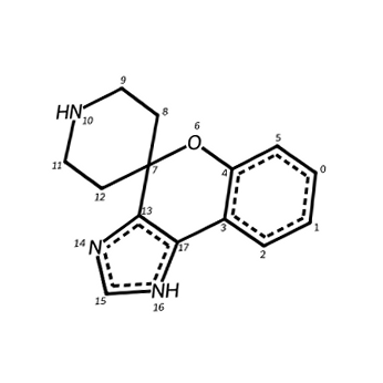 c1ccc2c(c1)OC1(CCNCC1)c1nc[nH]c1-2